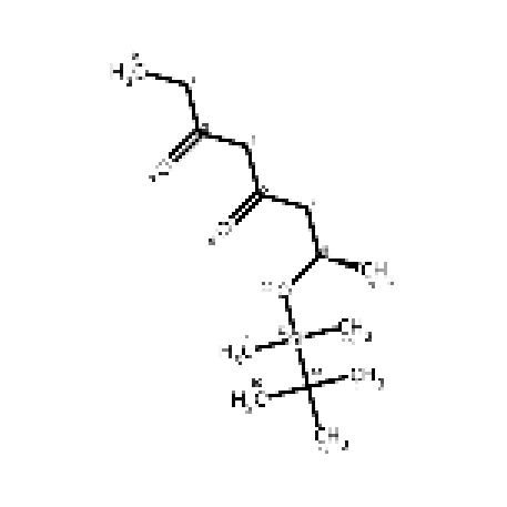 CCC(=O)CC(=O)C[C@@H](C)O[Si](C)(C)C(C)(C)C